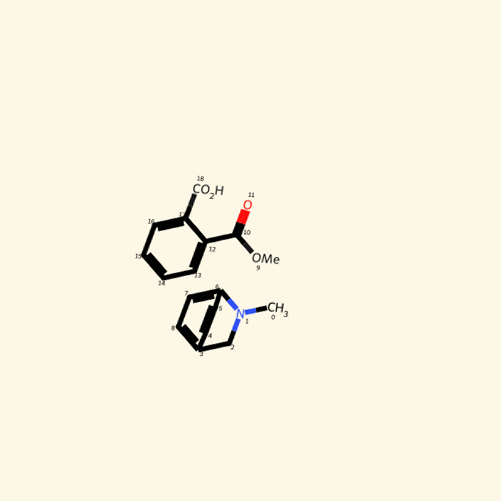 CN1Cc2ccc1cc2.COC(=O)c1ccccc1C(=O)O